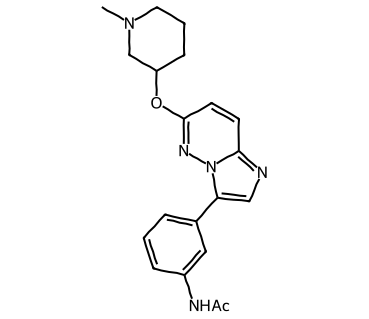 CC(=O)Nc1cccc(-c2cnc3ccc(OC4CCCN(C)C4)nn23)c1